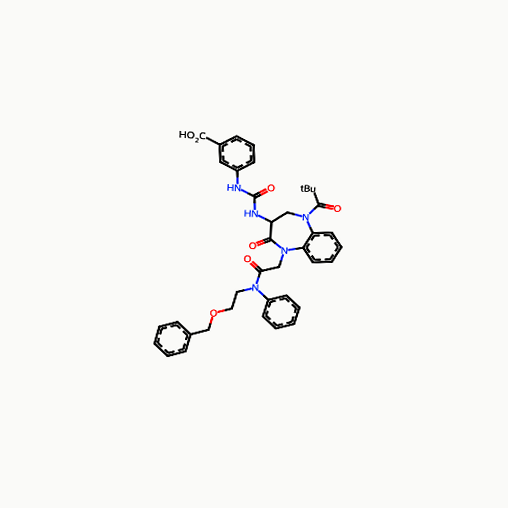 CC(C)(C)C(=O)N1CC(NC(=O)Nc2cccc(C(=O)O)c2)C(=O)N(CC(=O)N(CCOCc2ccccc2)c2ccccc2)c2ccccc21